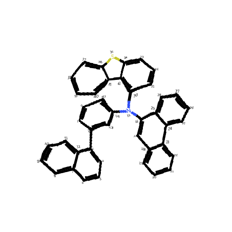 c1cc(-c2cccc3ccccc23)cc(N(c2cc3ccccc3c3ccccc23)c2cccc3sc4ccccc4c23)c1